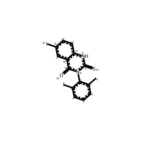 Cc1cccc(C)c1-n1c(=S)[nH]c2ccc(I)cc2c1=O